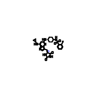 O=C1NC(=O)/C(=C/c2cnn3c(NC4CC4)cc(N[C@H]4CC[C@H](NS(=O)(=O)c5ccccc5F)CC4)nc23)N1